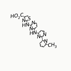 Cc1cccc(-c2nccc(Nc3ccnc(Nc4nc(C(=O)O)cs4)n3)n2)n1